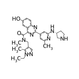 CCn1ncc(CN(C)C(=O)c2nc(-c3cc(C)nc(N[C@@H]4CCNC4)c3)nc3ccc(O)cc23)c1C